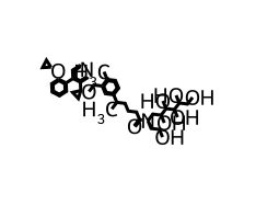 Cc1ccc(C(C)CCCC(=O)N(CCO)CC(O)C(O)C(O)C(O)CO)cc1COC1(c2cnccc2-c2ccccc2OC2CC2)CC1